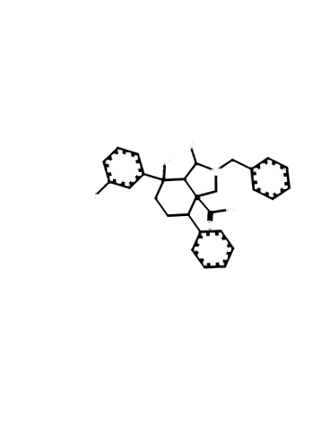 CC1C2C(O)(c3cccc(Cl)c3)CCC(c3ccccc3)C2(C(=O)O)CN1Cc1ccccc1